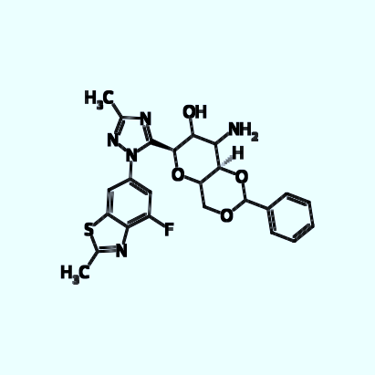 Cc1nc([C@@H]2OC3COC(c4ccccc4)O[C@@H]3C(N)C2O)n(-c2cc(F)c3nc(C)sc3c2)n1